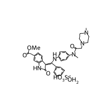 COC(=O)c1ccc2c(c1)NC(=O)C2=C(Nc1ccc(N(C)C(=O)CN2CCN(C)CC2)cc1)c1ccccc1.CS(=O)(=O)O.O